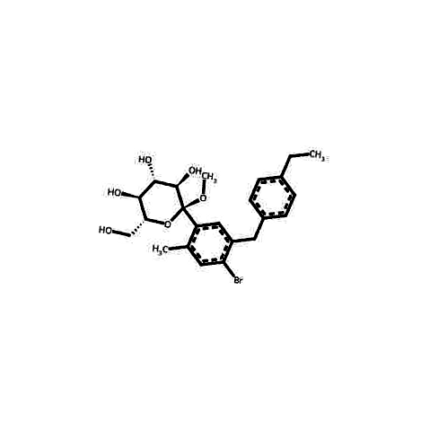 CCc1ccc(Cc2cc([C@]3(OC)O[C@H](CO)[C@@H](O)[C@H](O)[C@H]3O)c(C)cc2Br)cc1